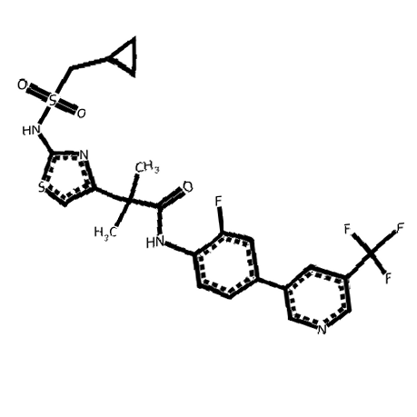 CC(C)(C(=O)Nc1ccc(-c2cncc(C(F)(F)F)c2)cc1F)c1csc(NS(=O)(=O)CC2CC2)n1